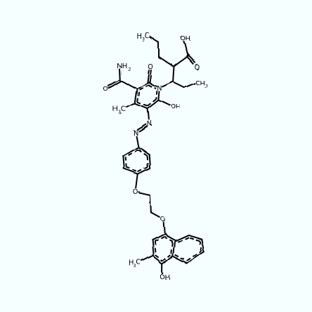 CCCC(C(=O)O)C(CC)n1c(O)c(N=Nc2ccc(OCCOc3cc(C)c(O)c4ccccc34)cc2)c(C)c(C(N)=O)c1=O